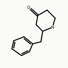 O=C1CC[N]C(Cc2ccccc2)C1